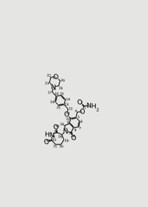 NC(=O)OCc1ccc2c(c1OCc1ccc(CN3CCOCC3)cc1)CN([C@H]1CCCC(=O)NC1=O)C2=O